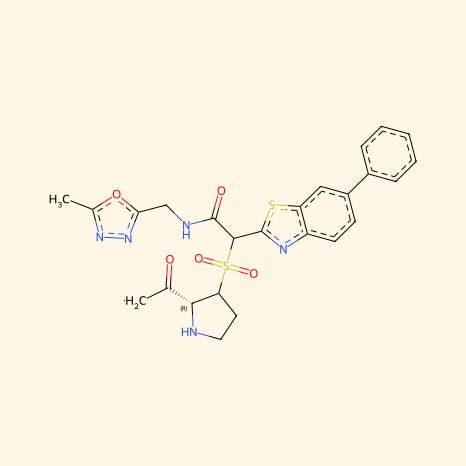 [CH2]C(=O)[C@H]1NCCC1S(=O)(=O)C(C(=O)NCc1nnc(C)o1)c1nc2ccc(-c3ccccc3)cc2s1